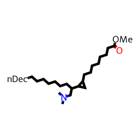 CCCCCCCCCCCCCCCCCC(CN(C)C)C1CC1CCCCCCCC(=O)OC